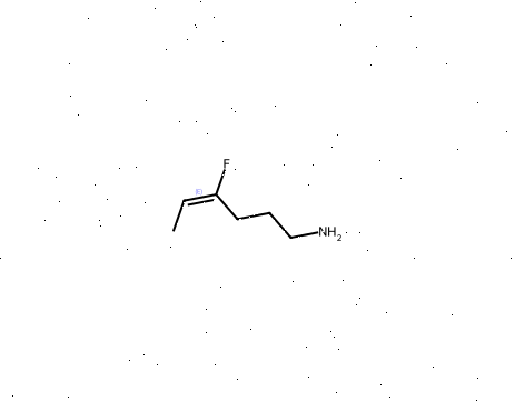 C/C=C(/F)CCCN